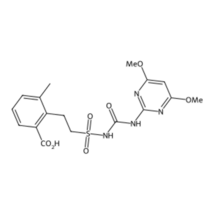 COc1cc(OC)nc(NC(=O)NS(=O)(=O)CCc2c(C)cccc2C(=O)O)n1